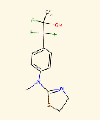 CN(C1=NCCS1)c1ccc(C(F)(F)C(O)(F)C(F)(F)F)cc1